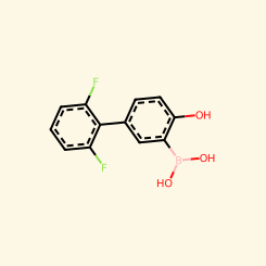 OB(O)c1cc(-c2c(F)cccc2F)ccc1O